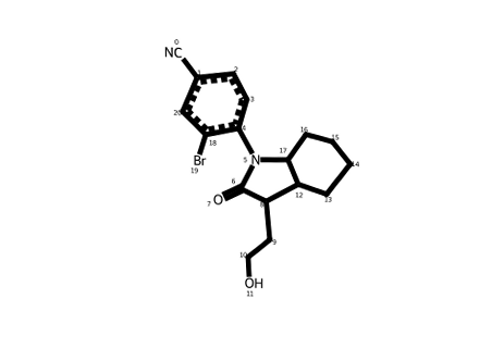 N#Cc1ccc(N2C(=O)C(CCO)C3CCCCC32)c(Br)c1